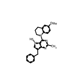 COc1ccc2c(c1)CCCN2c1nc(C)nc2c(Cc3ccccc3)cn(S)c12